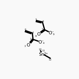 C=CC(=O)[O-].C=CC(=O)[O-].[CH3][Sn+2][CH3]